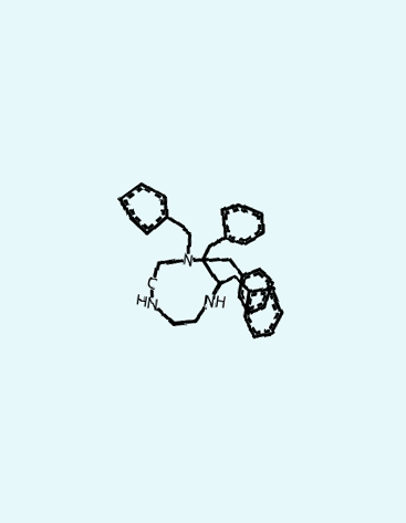 c1ccc(CC2NCCNCCN(Cc3ccccc3)C2(Cc2ccccc2)Cc2ccccc2)cc1